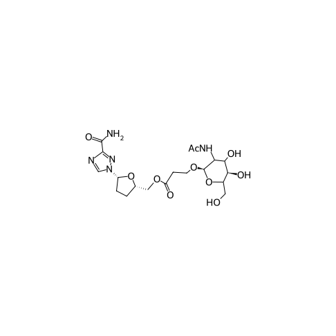 CC(=O)NC1C(O)[C@@H](O)C(CO)O[C@H]1OCCC(=O)OC[C@@H]1CC[C@H](n2cnc(C(N)=O)n2)O1